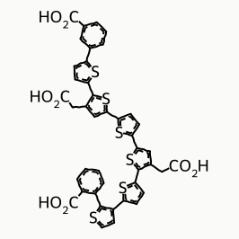 O=C(O)Cc1cc(-c2ccc(-c3cc(CC(=O)O)c(-c4ccc(-c5ccsc5-c5ccccc5C(=O)O)s4)s3)s2)sc1-c1ccc(-c2cccc(C(=O)O)c2)s1